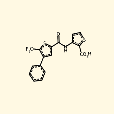 O=C(Nc1ccsc1C(=O)O)c1cc(-c2ccccc2)c(C(F)(F)F)s1